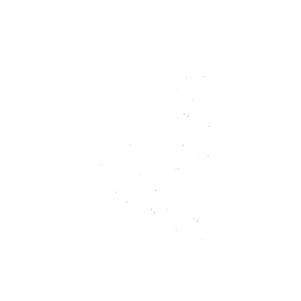 Cc1cc(C)cc(-c2ccc(N(C)CCN(C)C)c(C=CC(=O)c3cccc(NCCN(C)C)c3)c2)c1